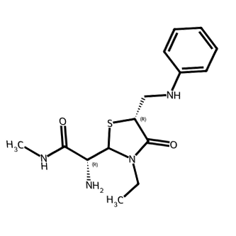 CCN1C(=O)[C@@H](CNc2ccccc2)SC1[C@H](N)C(=O)NC